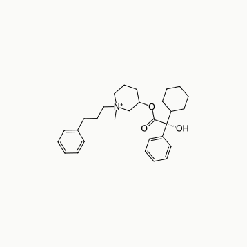 C[N+]1(CCCc2ccccc2)CCCC(OC(=O)[C@](O)(c2ccccc2)C2CCCCC2)C1